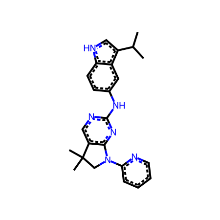 CC(C)c1c[nH]c2ccc(Nc3ncc4c(n3)N(c3ccccn3)CC4(C)C)cc12